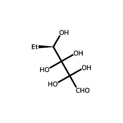 CC[C@@H](O)C(O)(O)C(O)(O)C=O